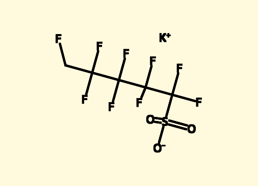 O=S(=O)([O-])C(F)(F)C(F)(F)C(F)(F)C(F)(F)CF.[K+]